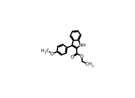 CCOC(=O)c1[nH]c2ccccc2c1-c1ccc(OC)cc1